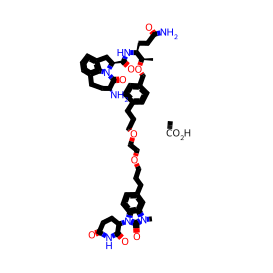 CC(=O)O.C[C@@H](OCc1ccc(CCCOCCOCCCc2ccc3c(c2)n(C)c(=O)n3C2CCC(=O)NC2=O)cc1)[C@H](CCC(N)=O)NC(=O)[C@@H]1Cc2cccc3c2N1C(=O)[C@@H](N)CC3